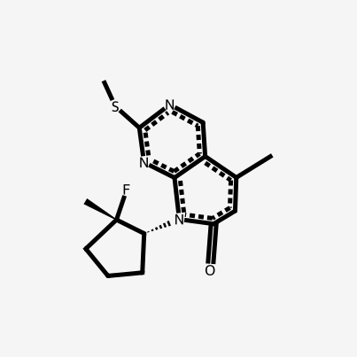 CSc1ncc2c(C)cc(=O)n([C@@H]3CCC[C@]3(C)F)c2n1